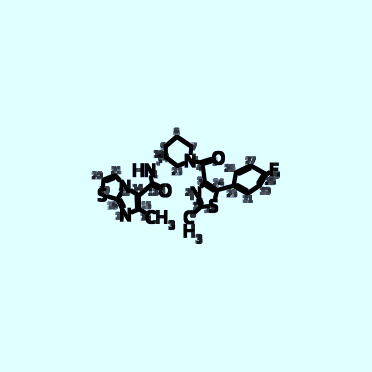 Cc1nc(C(=O)N2CCC[C@@H](NC(=O)c3c(C)nc4sccn34)C2)c(-c2ccc(F)cc2)s1